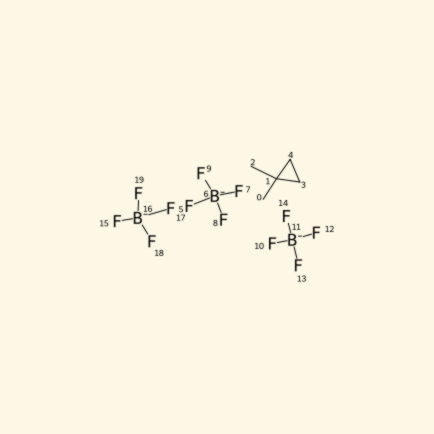 CC1(C)CC1.F[B-](F)(F)F.F[B-](F)(F)F.F[B-](F)(F)F